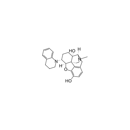 CN1CC[C@]23c4c5ccc(O)c4O[C@H]2[C@H](N2CCCc4ccccc42)CC[C@@]3(O)[C@H]1C5